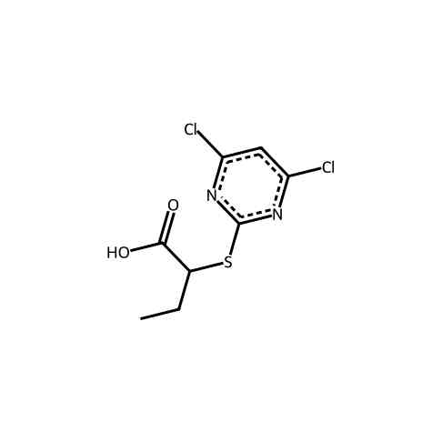 CCC(Sc1nc(Cl)cc(Cl)n1)C(=O)O